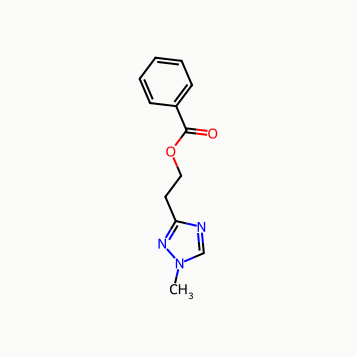 Cn1cnc(CCOC(=O)c2ccccc2)n1